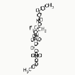 Cc1ccc(Oc2ccc(N3C(=O)c4ccc(C(=O)c5ccc6c(c5)C(=O)N(c5nc7cc(C(C)(c8ccc9oc(-c%10ccc(C(=O)c%11ccc(C)cc%11)cc%10)nc9c8)C(F)(F)F)ccc7o5)C6=O)cc4C3=O)cc2)cc1